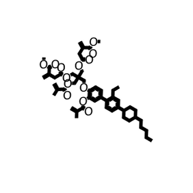 C=C(C)C(=O)OCC(COC(=O)CC(=C)C(=O)OC)(COC(=O)CC(=C)C(=O)OC)COc1ccc(-c2ccc(C3CCC(CCCCC)CC3)cc2CC)cc1OC(=O)C(=C)C